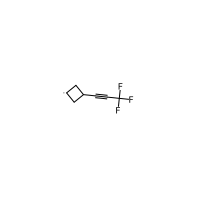 FC(F)(F)C#CC1C[CH]C1